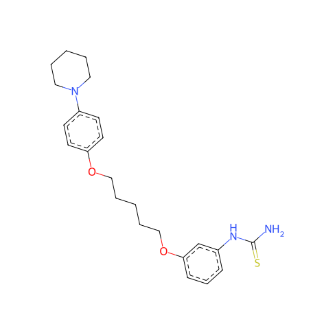 NC(=S)Nc1cccc(OCCCCCOc2ccc(N3CCCCC3)cc2)c1